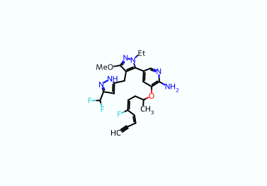 C#C/C=C\C(F)=C/CC(C)Oc1cc(-c2c(Cc3cc(C(F)F)n[nH]3)c(OC)nn2CC)cnc1N